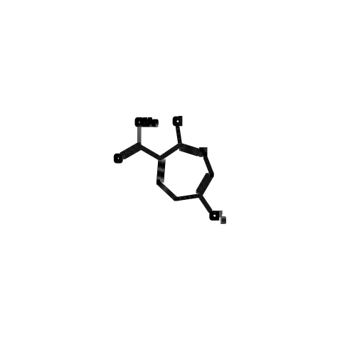 COC(=O)C1=CCC(C(F)(F)F)=CN=C1Cl